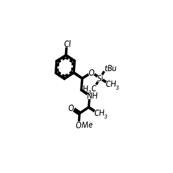 COC(=O)C(C)NCC(O[Si](C)(C)C(C)(C)C)c1cccc(Cl)c1